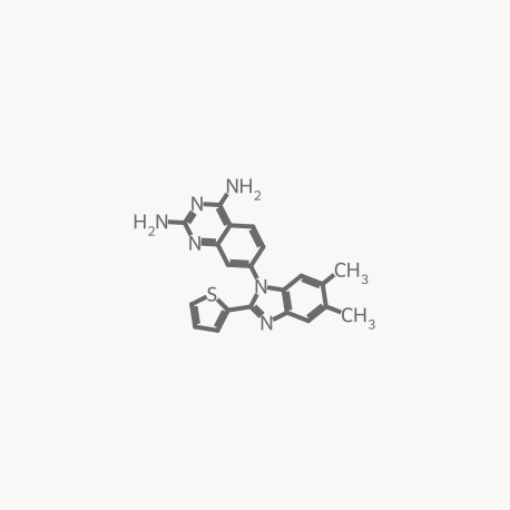 Cc1cc2nc(-c3cccs3)n(-c3ccc4c(N)nc(N)nc4c3)c2cc1C